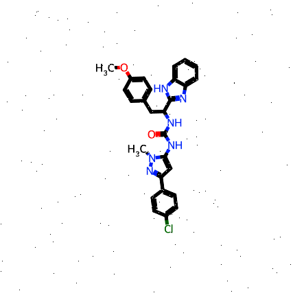 COc1ccc(CC(NC(=O)Nc2cc(-c3ccc(Cl)cc3)nn2C)c2nc3ccccc3[nH]2)cc1